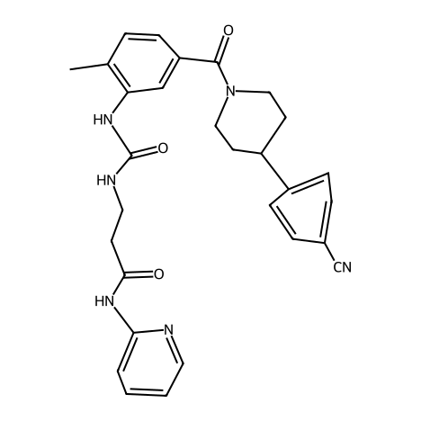 Cc1ccc(C(=O)N2CCC(c3ccc(C#N)cc3)CC2)cc1NC(=O)NCCC(=O)Nc1ccccn1